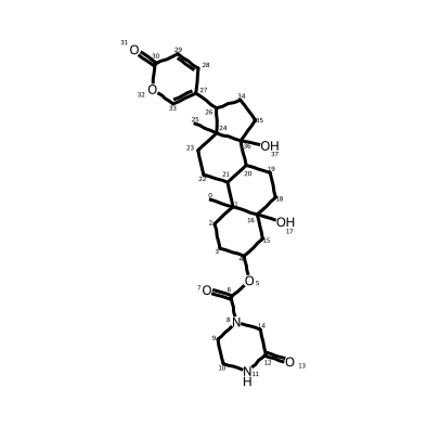 CC12CCC(OC(=O)N3CCNC(=O)C3)CC1(O)CCC1C2CCC2(C)C(c3ccc(=O)oc3)CCC12O